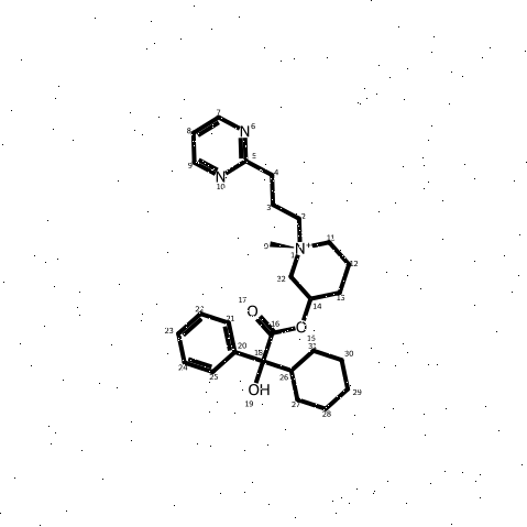 C[N@@+]1(CCCc2ncccn2)CCCC(OC(=O)C(O)(c2ccccc2)C2CCCCC2)C1